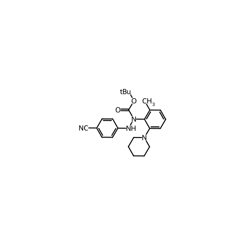 Cc1cccc(N2CCCCC2)c1N(Nc1ccc(C#N)cc1)C(=O)OC(C)(C)C